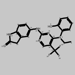 CCN(c1ccccc1O)c1nc(Nc2ccc3c(c2)CC(=O)N3)ncc1C(F)(F)F